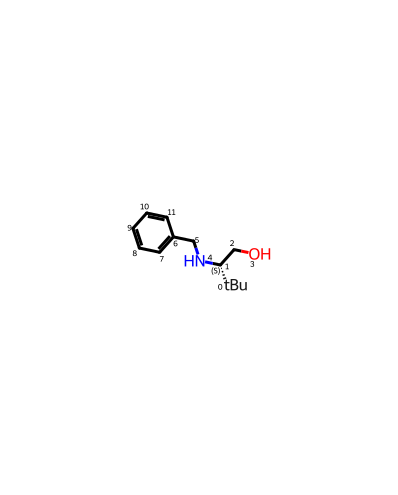 CC(C)(C)[C@@H](CO)NCc1ccccc1